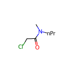 CCCN(C)C(=O)CCl